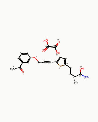 CC(=O)c1cccc(OCC#Cc2ccc(CC[C@@H](C)C(N)O)s2)c1.O=C(O)C(=O)O